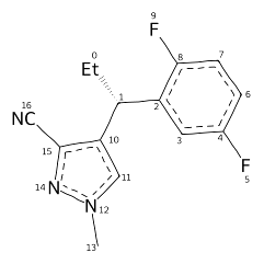 CC[C@H](c1cc(F)ccc1F)c1cn(C)nc1C#N